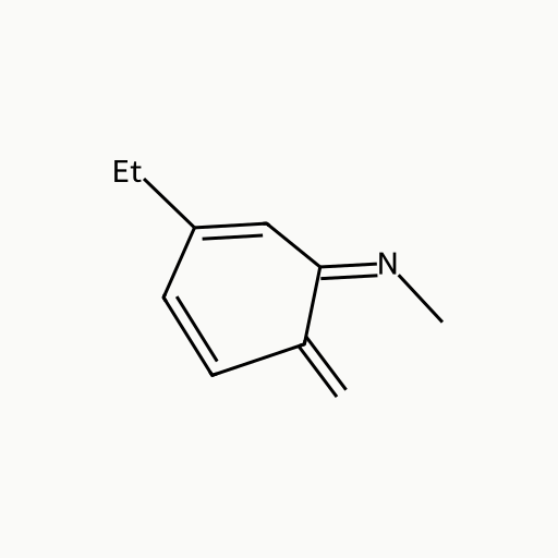 C=C1C=CC(CC)=C/C1=N/C